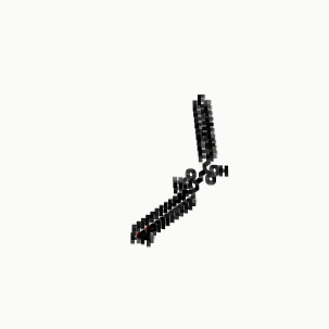 O=C(O)C(=CC=C(CC(O)CC(F)(F)C(F)(F)C(F)(F)C(F)(F)C(F)(F)C(F)(F)C(F)(F)C(F)(F)C(F)(F)C(F)(F)C(F)(C(F)(F)F)C(F)(F)F)C(=O)O)CCC(F)(F)C(F)(F)C(F)(F)C(F)(F)C(F)(F)C(F)(F)C(F)(F)C(F)(F)C(F)(F)C(F)(F)F